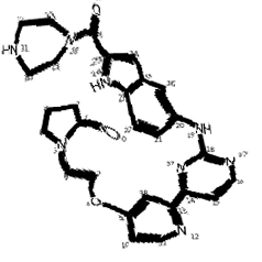 O=C1CCCN1CCOc1ccnc(-c2ccnc(Nc3ccc4[nH]c(C(=O)N5CCNCC5)cc4c3)n2)c1